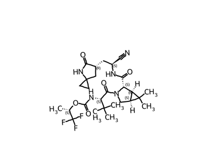 C[C@H](OC(=O)N[C@H](C(=O)N1C[C@H]2[C@@H]([C@H]1C(=O)N[C@H](C#N)C[C@@H]1CC3(CC3)NC1=O)C2(C)C)C(C)(C)C)C(F)(F)F